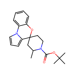 CC1CC2(CCN1C(=O)OC(C)(C)C)Oc1ccccc1-n1cccc12